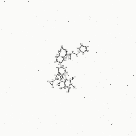 O=S(=O)(c1c(F)c(F)c(F)c(F)c1F)N(Cc1cccc(-c2ccc3ncnc(NCCc4ccccc4)c3c2)c1)C1CC1